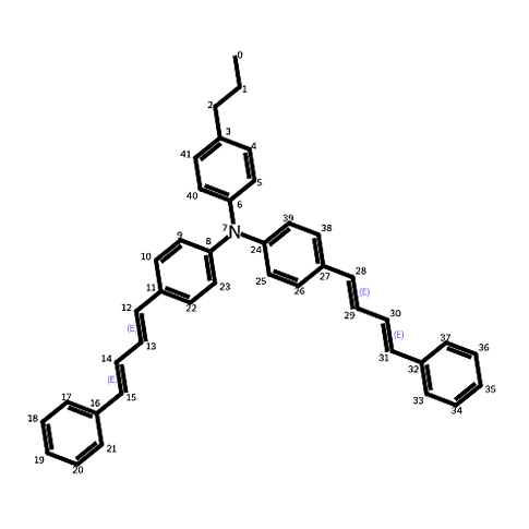 CCCc1ccc(N(c2ccc(/C=C/C=C/c3ccccc3)cc2)c2ccc(/C=C/C=C/c3ccccc3)cc2)cc1